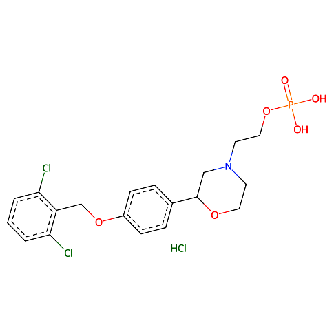 Cl.O=P(O)(O)OCCN1CCOC(c2ccc(OCc3c(Cl)cccc3Cl)cc2)C1